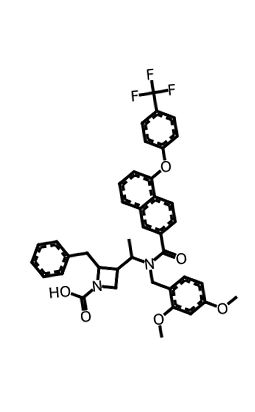 COc1ccc(CN(C(=O)c2ccc3c(Oc4ccc(C(F)(F)F)cc4)cccc3c2)C(C)C2CN(C(=O)O)C2Cc2ccccc2)c(OC)c1